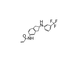 C=CC(=O)Nc1ccc2c(c1)CC(Nc1cccc(C(F)(F)F)c1)C2